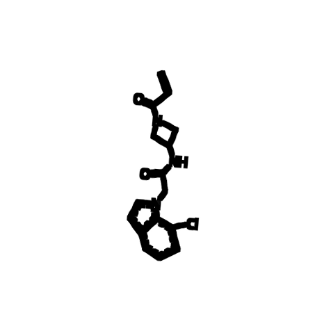 C=CC(=O)N1CC(NC(=O)Cn2ccc3cccc(Cl)c32)C1